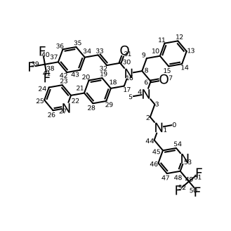 CN(CCN(C)C(=O)C(Cc1ccccc1)N(Cc1ccc(-c2ccccn2)cc1)C(=O)C=Cc1ccc(C(F)(F)F)cc1)Cc1ccc(C(F)(F)F)nc1